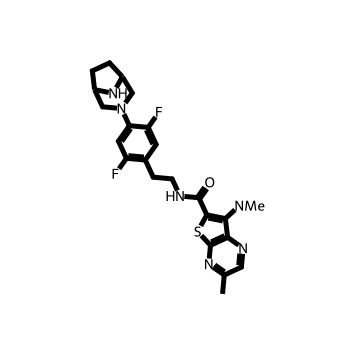 CNc1c(C(=O)NCCc2cc(F)c(N3CC4CCC(C3)N4)cc2F)sc2nc(C)cnc12